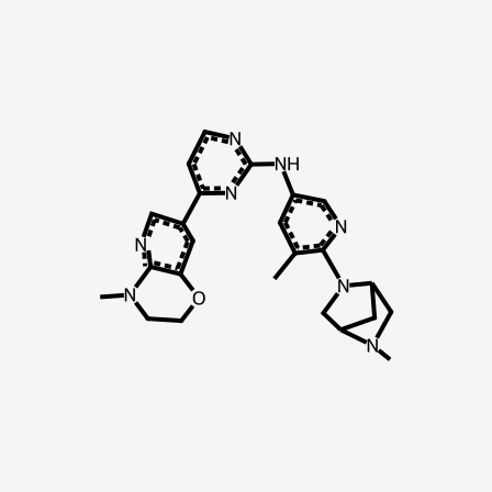 Cc1cc(Nc2nccc(-c3cnc4c(c3)OCCN4C)n2)cnc1N1CC2CC1CN2C